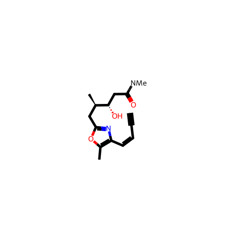 C#C/C=C\c1nc(C[C@@H](C)[C@@H](O)CC(=O)NC)oc1C